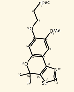 CCCCCCCCCCCCOc1cc2c(cc1OC)-c1nn[se]c1C(C)(C)O2